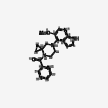 COc1cnc2[nH]ccc2c1N1CCN(C(=O)c2cnccn2)C2(CC2)C1